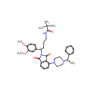 COc1ccc([C@@H](CCCNC(=O)C(C)(C)C)N2C(=O)c3cccc(N4CCN([C@H](C)c5ccccc5)CC4)c3C2=O)cc1OC